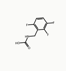 O=C(O)NCc1c(F)ccc(F)c1F